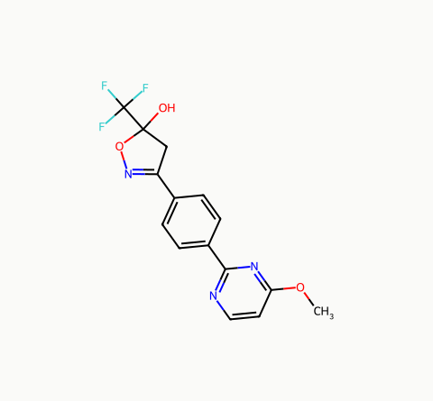 COc1ccnc(-c2ccc(C3=NOC(O)(C(F)(F)F)C3)cc2)n1